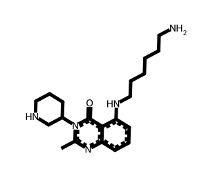 Cc1nc2cccc(NCCCCCCN)c2c(=O)n1C1CCCNC1